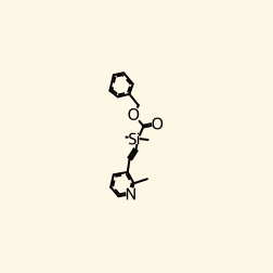 Cc1ncccc1C#C[Si](C)(C)C(=O)OCc1ccccc1